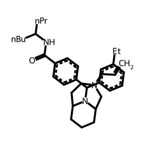 C=CCN1CCC2CCCC(C1)N2C(c1ccc(C(=O)NC(CCC)CCCC)cc1)c1cccc(CC)c1